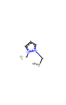 CCCCCC[n+]1cccn1C.[Cl-]